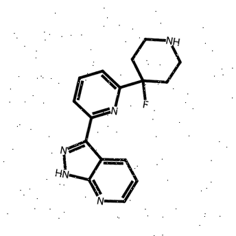 FC1(c2cccc(-c3n[nH]c4ncccc34)n2)CCNCC1